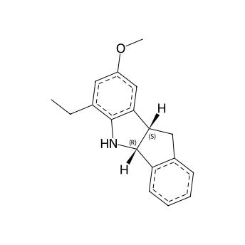 CCc1cc(OC)cc2c1N[C@H]1c3ccccc3C[C@@H]21